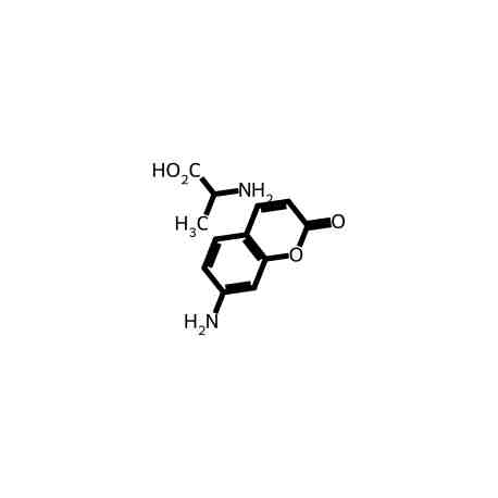 CC(N)C(=O)O.Nc1ccc2ccc(=O)oc2c1